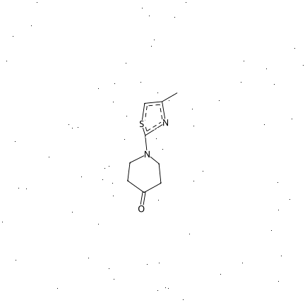 Cc1csc(N2CCC(=O)CC2)n1